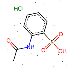 CC(=O)Nc1ccccc1S(=O)(=O)O.Cl